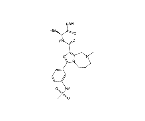 CNC(=O)[C@@H](NC(=O)c1nc(-c2cccc(NS(C)(=O)=O)c2)n2c1CN(C)CCC2)C(C)(C)C